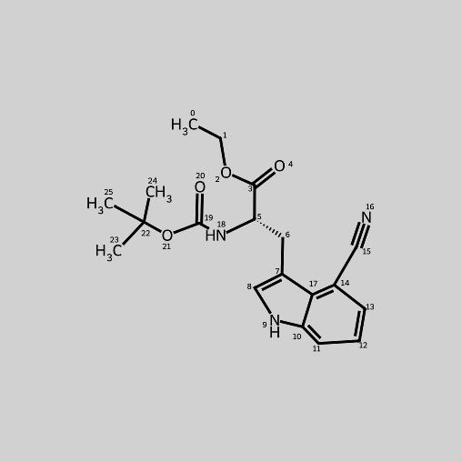 CCOC(=O)[C@H](Cc1c[nH]c2cccc(C#N)c12)NC(=O)OC(C)(C)C